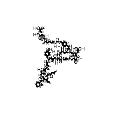 CCCC(=O)OCN(C(=O)[C@@H](NC(=O)[C@H]1CCCCN1C)C(C)CC)[C@H](C[C@@H](O)c1nc(C(=O)N[C@@H](Cc2ccc(O)cc2)C[C@H](C)C(=O)NNC(=O)OCCSSC[C@H](NC(=O)[C@H](CC(=O)O)NC(=O)[C@H](CCCNC(N)=O)NC(=O)Cc2ccc(CNC(=O)NCCCC[C@@H](C)NC(=O)N[C@@H](CCC(=O)O)C(=O)O)cc2)C(=O)O)cs1)C(C)C